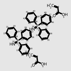 C=CC(=O)O.C=CC(=O)O.N=P(c1ccccc1)(c1ccccc1)c1ccccc1.N=P(c1ccccc1)(c1ccccc1)c1ccccc1